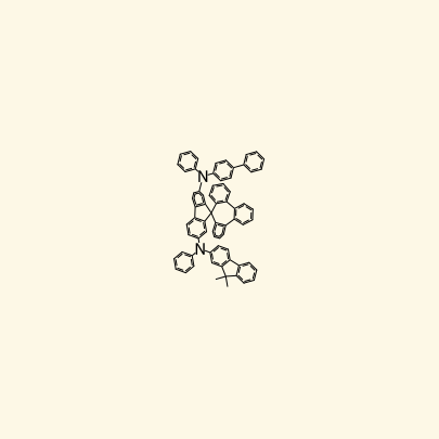 CC1(C)c2ccccc2-c2ccc(N(c3ccccc3)c3ccc4c(c3)C3(c5ccccc5-c5ccccc5-c5ccccc53)c3cc(N(c5ccccc5)c5ccc(-c6ccccc6)cc5)ccc3-4)cc21